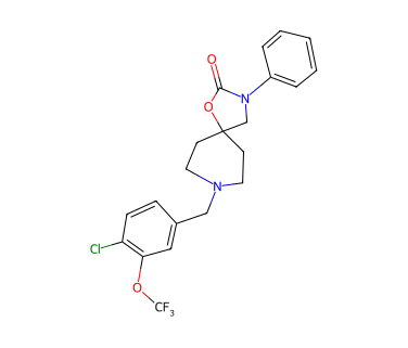 O=C1OC2(CCN(Cc3ccc(Cl)c(OC(F)(F)F)c3)CC2)CN1c1ccccc1